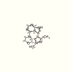 Cc1nn(C)cc1-c1c[nH]c2ncnc(N3CCOCC3)c12